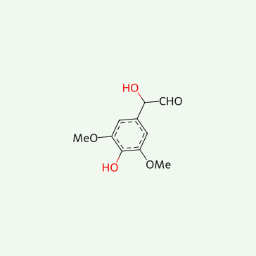 COc1cc(C(O)C=O)cc(OC)c1O